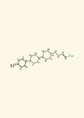 CCc1ccc(C2CCC(C3CCC(CCC=CF)CC3)CC2)cc1